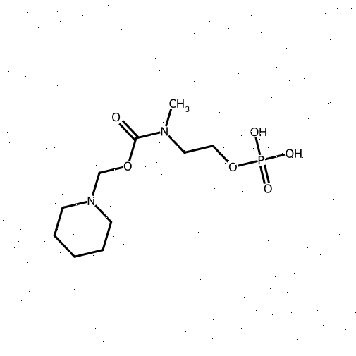 CN(CCOP(=O)(O)O)C(=O)OCN1CCCCC1